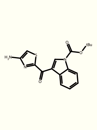 CC(C)(C)OC(=O)n1cc(C(=O)c2nc(N)cs2)c2ccccc21